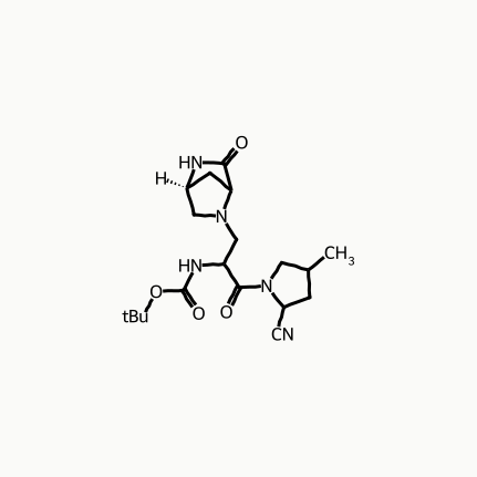 CC1CC(C#N)N(C(=O)C(CN2C[C@@H]3CC2C(=O)N3)NC(=O)OC(C)(C)C)C1